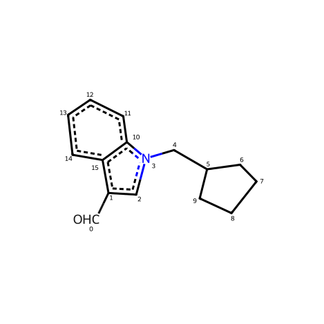 O=Cc1cn(CC2CCCC2)c2ccccc12